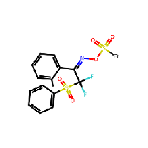 CCS(=O)(=O)ON=C(c1ccccc1C)C(F)(F)S(=O)(=O)c1ccccc1